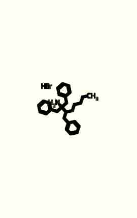 Br.CCCCCC(Cc1ccccc1)C(N)(Cc1ccccc1)Cc1ccccc1